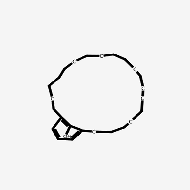 Oc1c2cccc1CCCCCCCCCCCCCCCCCCC2